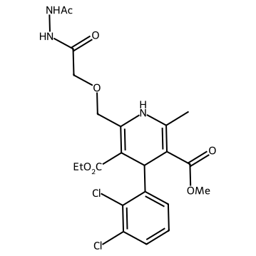 CCOC(=O)C1=C(COCC(=O)NNC(C)=O)NC(C)=C(C(=O)OC)C1c1cccc(Cl)c1Cl